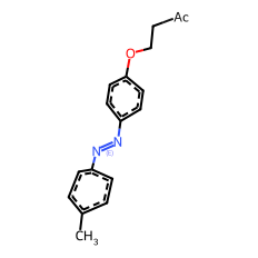 CC(=O)CCOc1ccc(/N=N/c2ccc(C)cc2)cc1